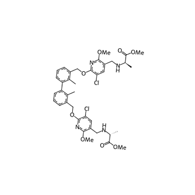 COC(=O)[C@@H](C)NCc1cc(Cl)c(OCc2cccc(-c3cccc(COc4nc(OC)c(CN[C@H](C)C(=O)OC)cc4Cl)c3C)c2C)nc1OC